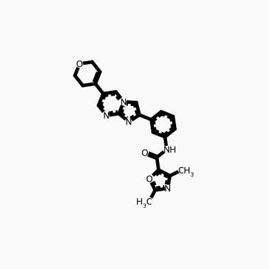 Cc1nc(C)c(C(=O)Nc2cccc(-c3cn4cc(C5=CCOCC5)cnc4n3)c2)o1